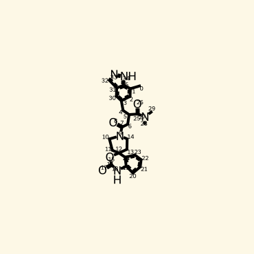 Cc1cc(CC(CC(=O)N2CCC3(CC2)OC(=O)Nc2ccccc23)C(=O)N(C)C)cc2cn[nH]c12